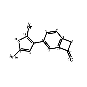 O=C1Cc2ccc(-c3cc(Br)sc3Br)cc21